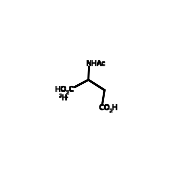 CC(=O)NC(CC(=O)O)C(=O)O.[2H]